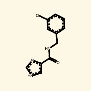 O=C(NCc1cccc(Cl)c1)c1c[nH]cn1